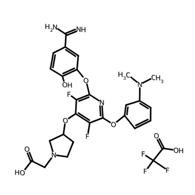 CN(C)c1cccc(Oc2nc(Oc3cc(C(=N)N)ccc3O)c(F)c(OC3CCN(CC(=O)O)C3)c2F)c1.O=C(O)C(F)(F)F